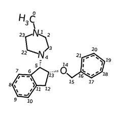 CN1CCN([C@H]2c3ccccc3C[C@H]2OCc2ccccc2)CC1